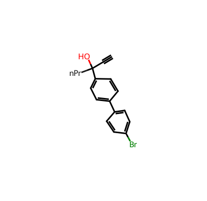 C#CC(O)(CCC)c1ccc(-c2ccc(Br)cc2)cc1